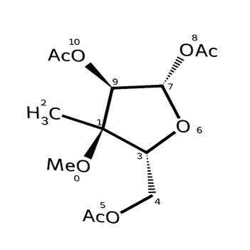 CO[C@]1(C)[C@@H](COC(C)=O)O[C@@H](OC(C)=O)[C@@H]1OC(C)=O